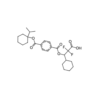 CC(C)C1(OC(=O)c2ccc(C(=O)OC(C3CCCCC3)C(F)(F)C(=O)O)cc2)CCCCC1